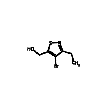 CCc1nsc(CO)c1Br